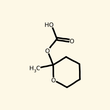 CC1(OC(=O)O)CCCCO1